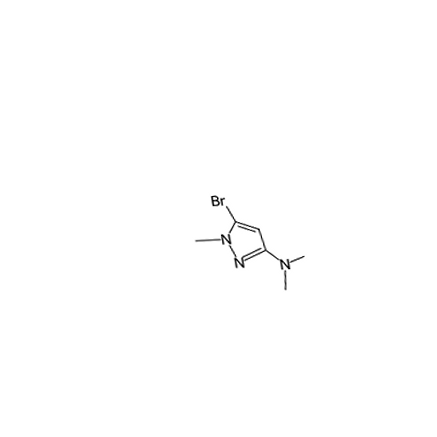 CN(C)c1cc(Br)n(C)n1